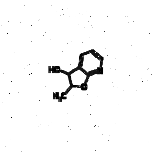 CC1Oc2ncccc2C1O